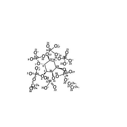 O=P([O-])([O-])O[C@H]1[C@H](OP(=O)([O-])[O-])[C@@H](OP(=O)([O-])[O-])[C@H](OP(=O)([O-])[O-])[C@@H](OP(=O)([O-])[O-])[C@H]1OP(=O)([O-])[O-].[Cr+3].[Cr+3].[Cr+3].[Cr+3]